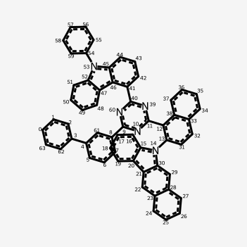 c1ccc(-c2cccc(-c3nc(-c4c(-n5c6ccccc6c6cc7ccccc7cc65)ccc5ccccc45)nc(-c4cccc5c4c4ccccc4n5-c4ccccc4)n3)c2)cc1